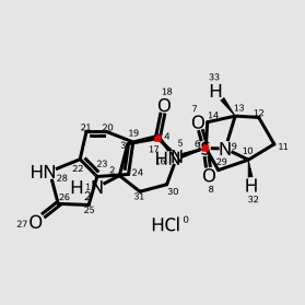 Cl.NC1CCN(S(=O)(=O)N2[C@@H]3CC[C@H]2C[C@H](NC(=O)c2ccc4c(c2)CC(=O)N4)C3)CC1